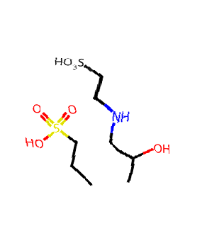 CC(O)CNCCS(=O)(=O)O.CCCS(=O)(=O)O